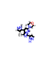 CCc1nc(-c2ccn[nH]2)n2nc(N3CCOC[C@H]3C)cc(-c3ccnn3C)c12